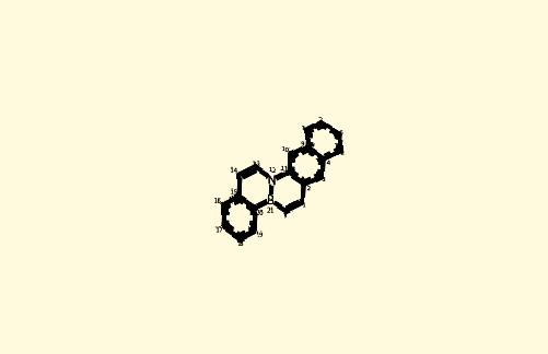 C1=Cc2cc3ccccc3cc2N2C=Cc3ccccc3B12